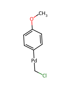 COc1cc[c]([Pd][CH2]Cl)cc1